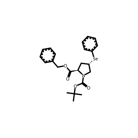 CC(C)(C)OC(=O)N1C[C@@H]([Se]c2ccccc2)C[C@@H]1C(=O)OCc1ccccc1